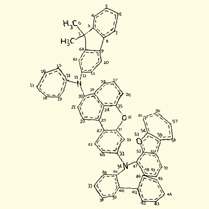 CC1(C)c2ccccc2-c2ccc(N(c3ccccc3)c3ccc4c5c(cccc35)Oc3cc(N(c5ccccc5-c5ccccc5)c5cccc6c5oc5ccccc56)ccc3-4)cc21